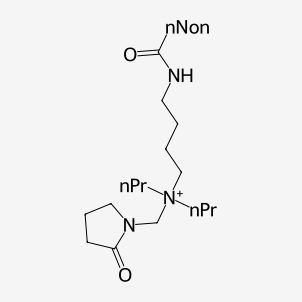 CCCCCCCCCC(=O)NCCCC[N+](CCC)(CCC)CN1CCCC1=O